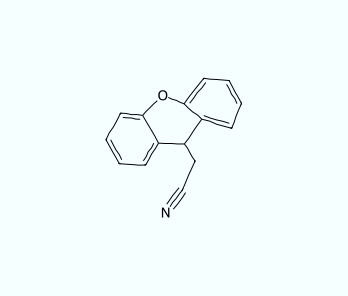 N#CCC1c2ccccc2Oc2ccccc21